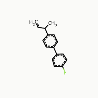 C=CC(C)c1ccc(-c2ccc(F)cc2)cc1